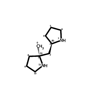 C[C@@]1(C[C@H]2CCCN2)CCCN1